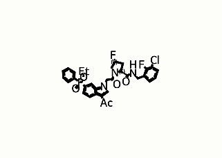 CCOP(=O)(c1ccccc1)c1ccc2c(C(C)=O)cn(CC(=O)N3C[C@H](F)C[C@H]3C(=O)NCc3cccc(Cl)c3F)c2c1